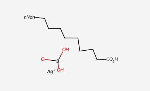 CCCCCCCCCCCCCCCCCC(=O)O.[Ag+].[O-]B(O)O